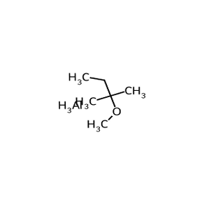 CCC(C)(C)OC.[AlH3]